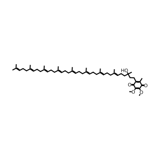 COC1=C(OC)C(=O)C(CCC(C)(O)CC/C=C(\C)CC/C=C(\C)CC/C=C(\C)CC/C=C(\C)CC/C=C(\C)CC/C=C(\C)CC/C=C(\C)CCC=C(C)C)=C(C)C1=O